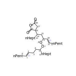 CCCCC/C=C/CCC(CCCCCCC)OOC(/C=C/CCCCC)CC(CCCCCCC)C1CC(=O)OC1=O